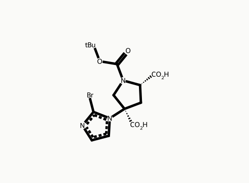 CC(C)(C)OC(=O)N1C[C@](C(=O)O)(n2ccnc2Br)C[C@H]1C(=O)O